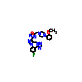 COc1ccccc1N1CCN(Cc2nc(-c3ncn4c3Cn3ncnc3-c3cc(F)ccc3-4)no2)CC1